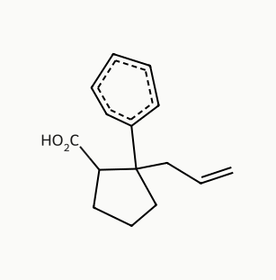 C=CCC1(c2ccccc2)CCCC1C(=O)O